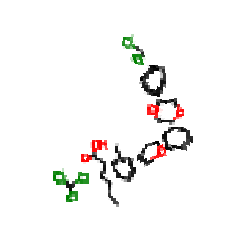 C1CCCCC1.C1CCOC1.C1COCCO1.CCCCCC(=O)O.Cc1ccccc1.ClC(Cl)Cl.ClCCl.c1ccccc1